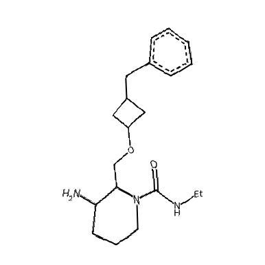 CCNC(=O)N1CCCC(N)C1COC1CC(Cc2ccccc2)C1